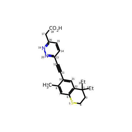 CCC1(CC)CCSc2cc(C)c(C#Cc3ccc(CC(=O)O)nn3)cc21